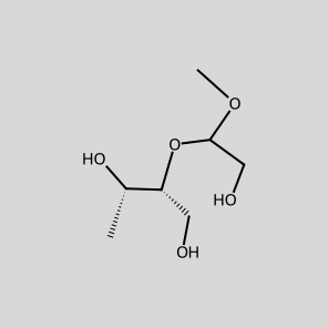 COC(CO)O[C@H](CO)[C@H](C)O